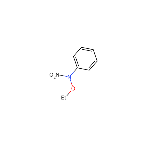 CCON(c1ccccc1)[N+](=O)[O-]